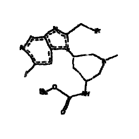 CC(C)Cc1nc2cnc(I)cc2n1C1CC(NC(=O)OC(C)(C)C)CN(C)C1